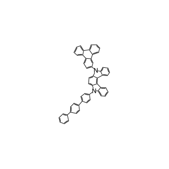 c1ccc(-c2ccc(-c3ccc(-n4c5ccccc5c5c6c7ccccc7n(-c7ccc8c9ccccc9c9ccccc9c8c7)c6ccc54)cc3)cc2)cc1